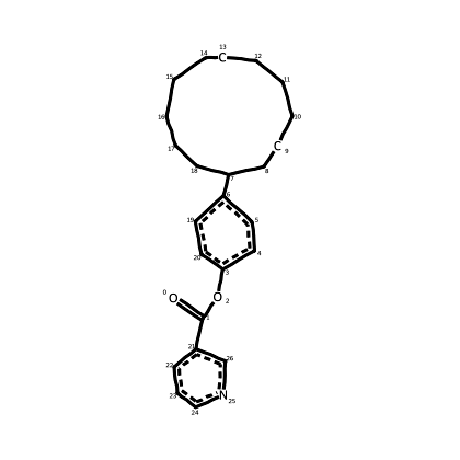 O=C(Oc1ccc(C2CCCCCCCCCCC2)cc1)c1cccnc1